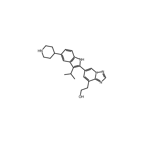 CC(C)c1c(-c2cc(CCO)c3ncnn3c2)[nH]c2ccc(C3CCNCC3)cc12